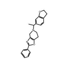 CC(c1ccc2c(c1)OCC2)N1CCc2oc(-c3ccccc3)nc2C1